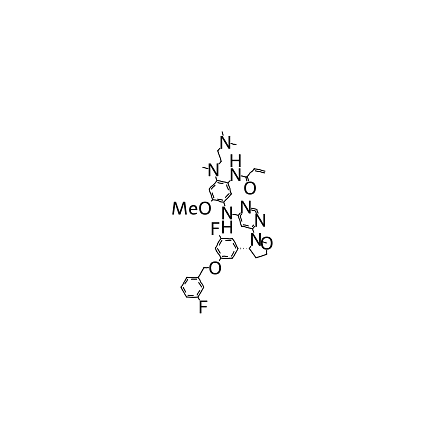 C=CC(=O)Nc1cc(Nc2cc(N3OCC[C@@H]3c3cc(F)cc(OCc4cccc(F)c4)c3)ncn2)c(OC)cc1N(C)CCN(C)C